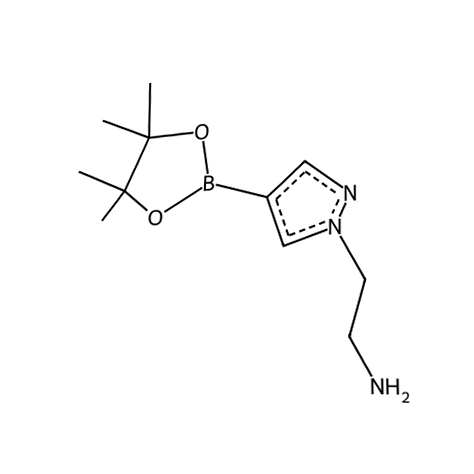 CC1(C)OB(c2cnn(CCN)c2)OC1(C)C